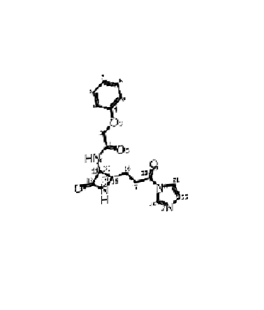 O=C(COc1ccccc1)N[C@@H]1C(=O)N[C@@H]1CCC(=O)n1ccnc1